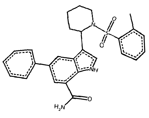 Cc1ccccc1S(=O)(=O)N1CCCCC1c1c[nH]c2c(C(N)=O)cc(-c3ccccc3)cc12